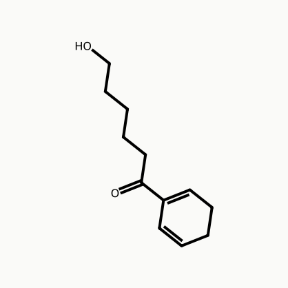 O=C(CCCCCO)C1=CCCC=C1